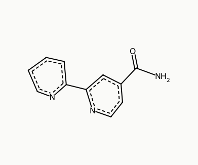 NC(=O)c1ccnc(-c2ccccn2)c1